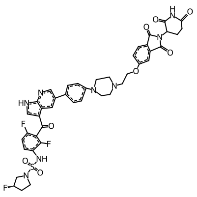 O=C1CCC(N2C(=O)c3ccc(OCCN4CCN(c5ccc(-c6cnc7[nH]cc(C(=O)c8c(F)ccc(NS(=O)(=O)N9CC[C@@H](F)C9)c8F)c7c6)cc5)CC4)cc3C2=O)C(=O)N1